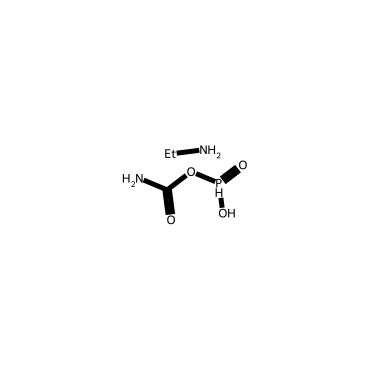 CCN.NC(=O)O[PH](=O)O